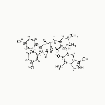 COC(=O)C(C[C@@H]1CCNC1=O)NC(=O)C(CC(C)C)NC(=O)OC(c1ccc(Cl)cc1)C1(c2cccc(Cl)c2)CC1